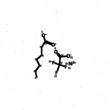 CCCCCCC(=O)[O-].O=C([O-])C(F)(F)F.[Ni+2]